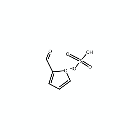 O=Cc1ccco1.O=S(=O)(O)O